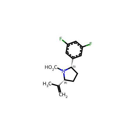 C=C(C)[C@H]1CC[C@@H](c2cc(F)cc(F)c2)N1C(=O)O